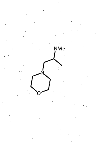 CNC(C)CN1CCOCC1